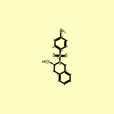 O=C(O)[C@@H]1Cc2ccccc2CN1S(=O)(=O)c1ccc([N+](=O)[O-])cc1